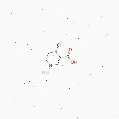 BN1CCN(C)[C@H](C(=O)O)C1